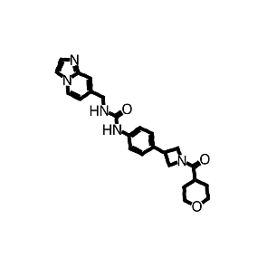 O=C(NCc1ccn2ccnc2c1)Nc1ccc(C2CN(C(=O)C3CCOCC3)C2)cc1